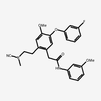 COc1cccc(NC(=O)Cc2cc(Oc3cccc(F)c3)c(OC)cc2CCB(C)C#N)c1